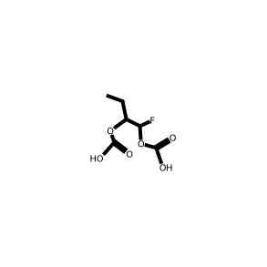 CCC(OC(=O)O)C(F)OC(=O)O